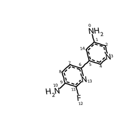 Nc1cncc(-c2ccc(N)c(F)n2)c1